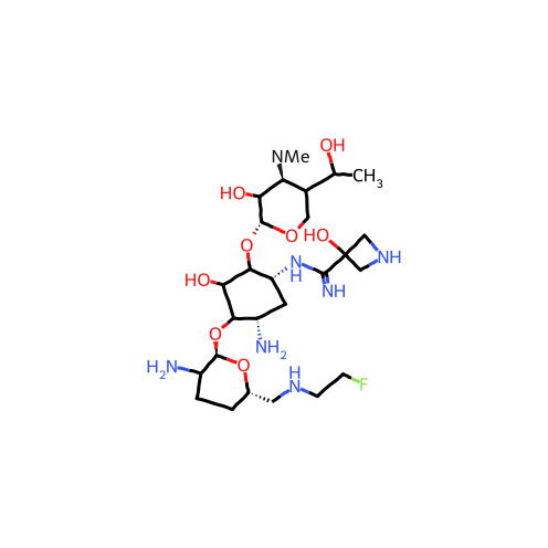 CN[C@H]1C(C(C)O)CO[C@H](OC2C(O)C(O[C@H]3O[C@H](CNCCF)CCC3N)[C@@H](N)C[C@H]2NC(=N)C2(O)CNC2)C1O